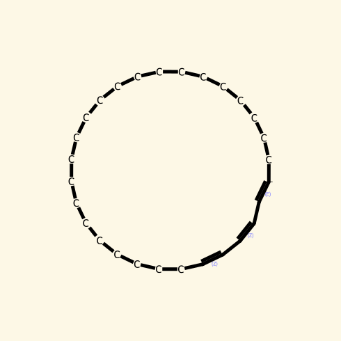 [C]1=C/C=C\C=C/CCCCCCCCCCCCCCCCCCCCCC/1